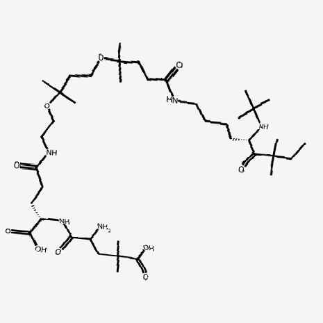 CCC(C)(C)C(=O)[C@H](CCCCNC(=O)CCC(C)(C)OCCC(C)(C)OCCNC(=O)CC[C@H](NC(=O)C(N)CC(C)(C)C(=O)O)C(=O)O)NC(C)(C)C